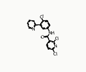 O=C(Nc1ccc(Cl)c(-c2ccccn2)c1)c1ccc(Cl)nc1Cl